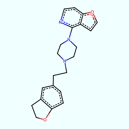 c1cc2occc2c(N2CCN(CCc3ccc4c(c3)CCO4)CC2)n1